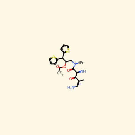 C/C(=C/N)C(=O)C(=N)C(=O)N(CC(OC(=O)C(F)(F)F)C(c1cccs1)c1cccs1)C(C)C